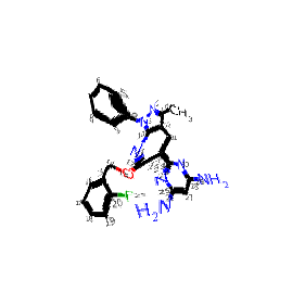 Cc1nn(-c2ccccc2)c2nc(OCc3ccccc3F)c(-c3nc(N)cc(N)n3)cc12